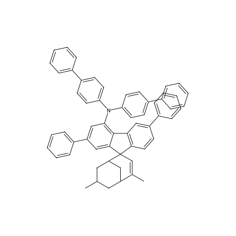 CC1=CC2(c3ccc(-c4ccccc4)cc3-c3c(N(c4ccc(-c5ccccc5)cc4)c4ccc(-c5ccccc5)cc4)cc(-c4ccccc4)cc32)C2CC(C)CC1C2